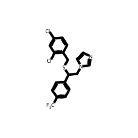 FC(F)(F)c1ccc(C(Cn2ccnc2)SCc2ccc(Cl)cc2Cl)cc1